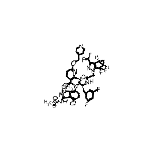 Cn1nc(NS(C)(=O)=O)c2c(Cl)ccc(-n3c([C@H](Cc4cc(F)cc(F)c4)NC(=O)Cn4nc(C(F)F)c5c4C(F)(F)[C@@H]4C[C@H]54)nc4nc(OCc5ccncc5)ccc4c3=O)c21